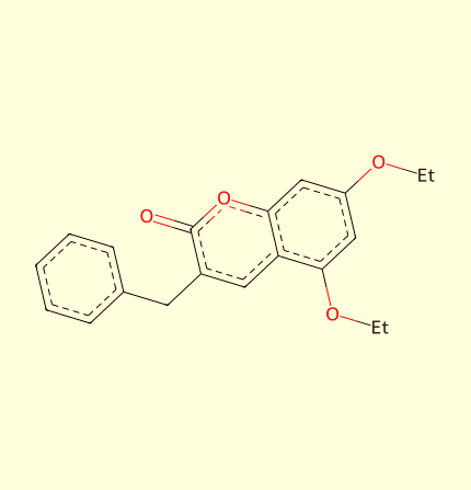 CCOc1cc(OCC)c2cc(Cc3ccccc3)c(=O)oc2c1